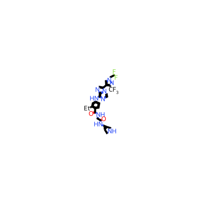 CCc1cc(Nc2nccn3c(-c4cn(CC(F)F)nc4C(F)(F)F)cnc23)ccc1C(=O)NCC(=O)NC1C2CNCC21